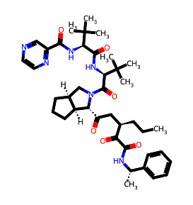 CCC[C@H](CC(=O)[C@@H]1[C@H]2CCC[C@H]2CN1C(=O)[C@@H](NC(=O)[C@@H](NC(=O)c1cnccn1)C(C)(C)C)C(C)(C)C)C(=O)C(=O)N[C@@H](C)c1ccccc1